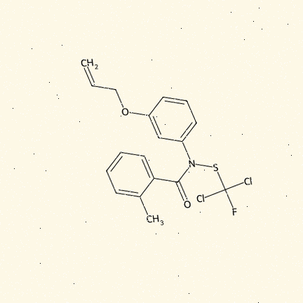 C=CCOc1cccc(N(SC(F)(Cl)Cl)C(=O)c2ccccc2C)c1